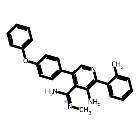 C/N=C(/N)c1c(-c2ccc(Oc3ccccc3)cc2)cnc(-c2ccccc2C)c1N